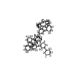 c1ccc(-c2ccc(-c3nc(-c4ccc5c(c4)-c4ccccc4C54c5ccccc5Sc5ccccc54)nc(-c4cccc5c4sc4ccccc45)n3)c(-c3ccccc3)c2)cc1